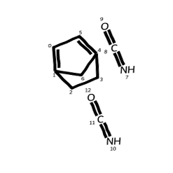 C1=C2CCC(=C1)C2.N=C=O.N=C=O